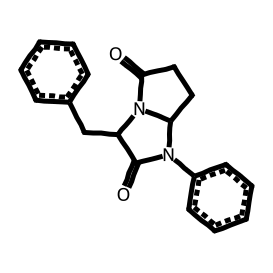 O=C1C(Cc2ccccc2)N2C(=O)CCC2N1c1ccccc1